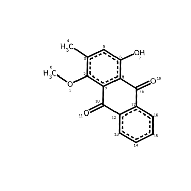 COc1c(C)cc(O)c2c1C(=O)c1ccccc1C2=O